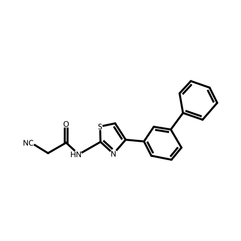 N#CCC(=O)Nc1nc(-c2cccc(-c3ccccc3)c2)cs1